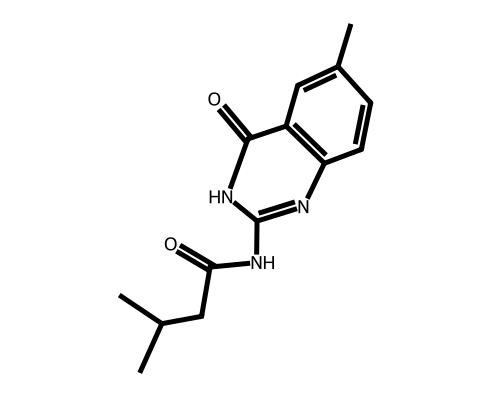 Cc1ccc2nc(NC(=O)CC(C)C)[nH]c(=O)c2c1